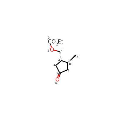 CCOC(=O)OC[C@H]1CC(=O)C[C@@H]1C